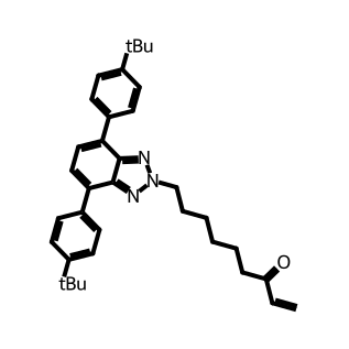 C=CC(=O)CCCCCCn1nc2c(-c3ccc(C(C)(C)C)cc3)ccc(-c3ccc(C(C)(C)C)cc3)c2n1